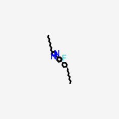 CCCCCCCCc1cnc(-c2ccc([C@H]3CC[C@H](CCCCCCCC)CC3)c(F)c2)nc1